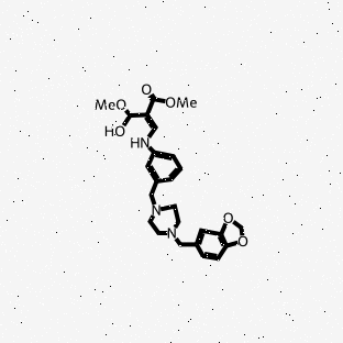 COC(=O)/C(=C/Nc1cccc(CN2CCN(Cc3ccc4c(c3)OCO4)CC2)c1)C(O)OC